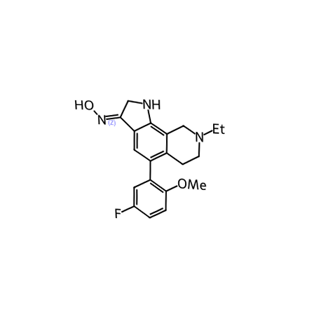 CCN1CCc2c(-c3cc(F)ccc3OC)cc3c(c2C1)NC/C3=N\O